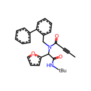 CC#CC(=O)N(Cc1ccccc1-c1ccccc1)C(C(=O)NC(C)(C)C)c1ccco1